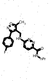 CCCNC(=O)c1ccc(NCc2c(-c3ccc(F)cc3)noc2C)nn1